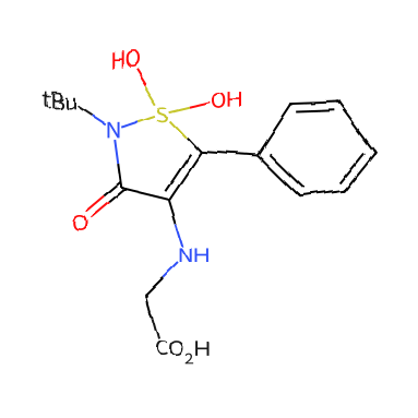 CC(C)(C)N1C(=O)C(NCC(=O)O)=C(c2ccccc2)S1(O)O